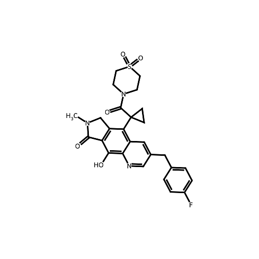 CN1Cc2c(c(O)c3ncc(Cc4ccc(F)cc4)cc3c2C2(C(=O)N3CCS(=O)(=O)CC3)CC2)C1=O